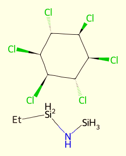 CC[SiH2]N[SiH3].Cl[C@H]1[C@H](Cl)[C@@H](Cl)[C@@H](Cl)[C@H](Cl)[C@H]1Cl